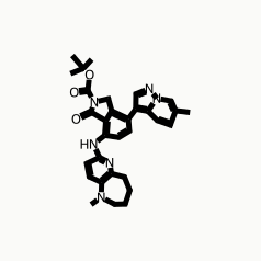 Cc1ccc2c(-c3ccc(Nc4ccc5c(n4)CCCCN5C)c4c3CN(C(=O)OC(C)(C)C)C4=O)cnn2c1